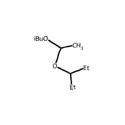 CCC(CC)O[C](C)OCC(C)C